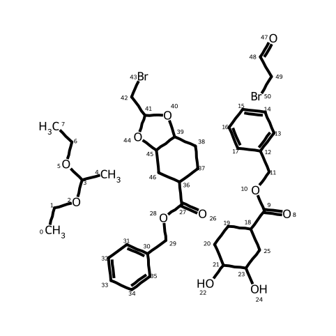 CCOC(C)OCC.O=C(OCc1ccccc1)C1CCC(O)C(O)C1.O=C(OCc1ccccc1)C1CCC2OC(CBr)OC2C1.O=CCBr